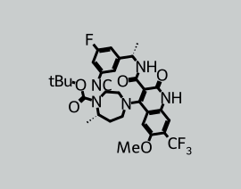 COc1cc2c(N3CC[C@H](C)N(C(=O)OC(C)(C)C)CC3)c(C(=O)N[C@@H](C)c3cc(F)cc(C#N)c3)c(=O)[nH]c2cc1C(F)(F)F